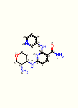 NC(=O)c1ccc(N[C@@H]2CCOC[C@@H]2N)nc1Nc1cccnc1